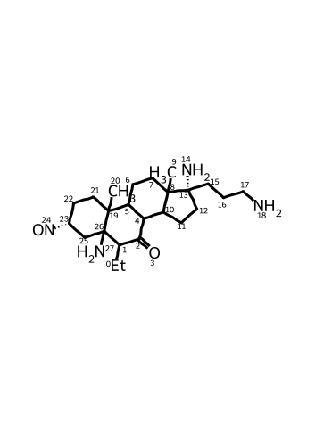 CCC1C(=O)C2C(CCC3(C)C2CC[C@]3(N)CCCN)C2(C)CC[C@@H](N=O)CC12N